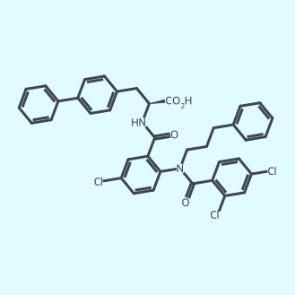 O=C(N[C@@H](Cc1ccc(-c2ccccc2)cc1)C(=O)O)c1cc(Cl)ccc1N(CCCc1ccccc1)C(=O)c1ccc(Cl)cc1Cl